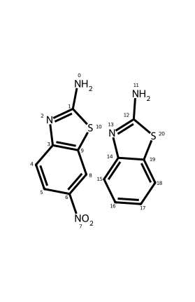 Nc1nc2ccc([N+](=O)[O-])cc2s1.Nc1nc2ccccc2s1